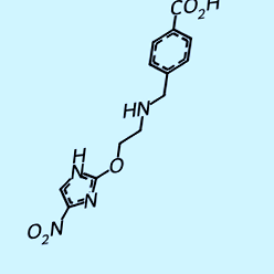 O=C(O)c1ccc(CNCCOc2nc([N+](=O)[O-])c[nH]2)cc1